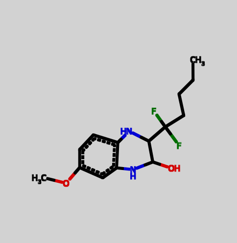 CCCCC(F)(F)C1Nc2ccc(OC)cc2NC1O